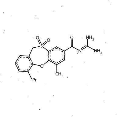 Cc1cc(C(=O)N=C(N)N)cc2c1Oc1c(cccc1C(C)C)CS2(=O)=O